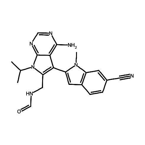 CC(C)n1c(CNC=O)c(-c2cc3ccc(C#N)cc3n2C)c2c(N)ncnc21